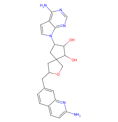 Nc1ccc2ccc(CC3CC4(CO3)CC(n3ccc5c(N)ncnc53)C(O)C4O)cc2n1